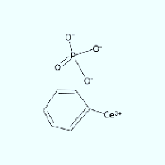 O=P([O-])([O-])[O-].[Ce+3][c]1ccccc1